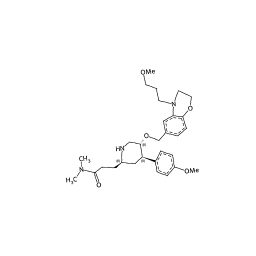 COCCCN1CCOc2ccc(CO[C@H]3CN[C@H](CCC(=O)N(C)C)C[C@@H]3c3ccc(OC)cc3)cc21